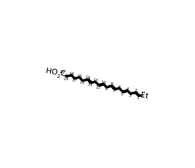 CCC=CCC=CCC=CCC=CCC=CCCCCCC(=O)O